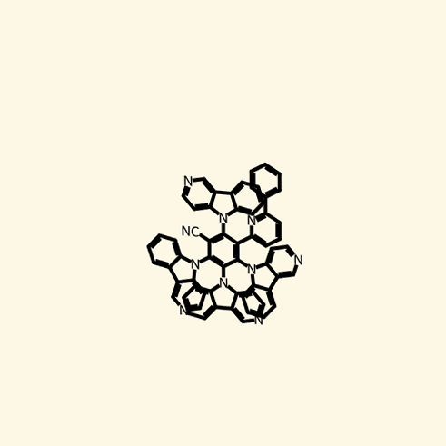 N#Cc1c(-n2c3ccccc3c3cnccc32)c(-c2cccc(-c3ccccc3)n2)c(-n2c3ccccc3c3cnccc32)c(-n2c3ccccc3c3cnccc32)c1-n1c2ccccc2c2cnccc21